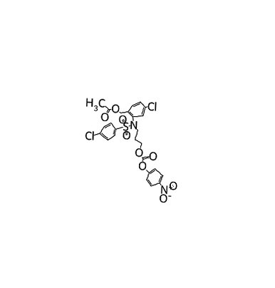 CC(=O)OCc1ccc(Cl)cc1N(CCCOC(=O)Oc1ccc([N+](=O)[O-])cc1)S(=O)(=O)c1ccc(Cl)cc1